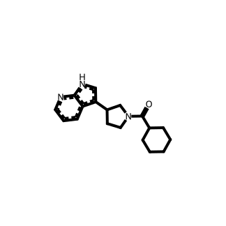 O=C(C1CCCCC1)N1CCC(c2c[nH]c3ncccc23)C1